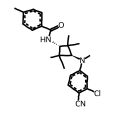 Cc1ccc(C(=O)N[C@H]2C(C)(C)[C@H](N(C)c3ccc(C#N)c(Cl)c3)C2(C)C)cc1